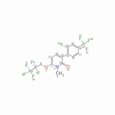 Cn1c(OCC(F)(F)C(F)(F)F)ccc(-c2ccc(C(F)(F)F)cc2F)c1=O